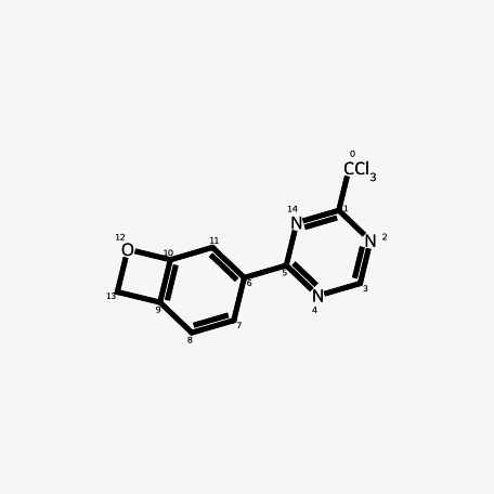 ClC(Cl)(Cl)c1ncnc(-c2ccc3c(c2)OC3)n1